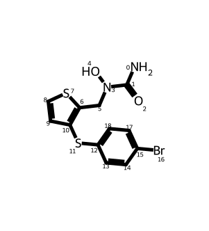 NC(=O)N(O)Cc1sccc1Sc1ccc(Br)cc1